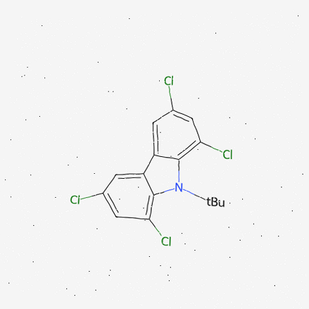 CC(C)(C)n1c2c(Cl)cc(Cl)cc2c2cc(Cl)cc(Cl)c21